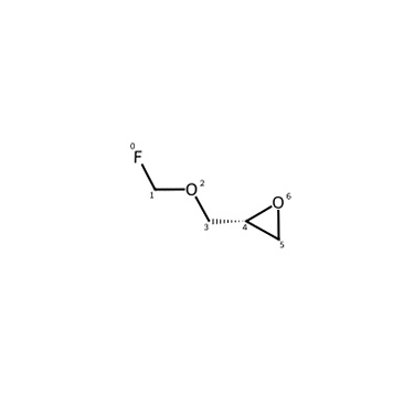 FCOC[C@H]1CO1